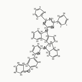 c1ccc(-c2nc(-c3ccccc3)nc(-n3c4ccccc4c4c3ccc3c5ccccc5n(-c5cccc(-c6ccc7oc8ccccc8c7c6)n5)c34)n2)cc1